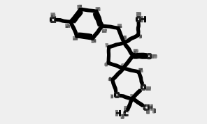 CC1(C)OCC2(CCC(CO)(Cc3ccc(Cl)cc3)C2=O)CO1